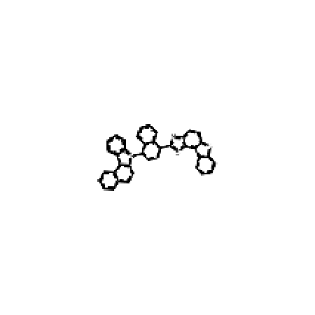 c1ccc2c(c1)ccc1c2c2ccccc2n1-c1ccc(-c2nc3ccc4sc5ccccc5c4c3s2)c2ccccc12